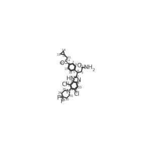 NC(=O)CC(c1ccc([S+]([O-])CC2CC2)cc1)c1nc2cc(Cl)c(N3CCC(F)(F)CC3)c(Cl)c2[nH]1